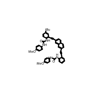 COc1ccc(NC(=O)Nc2ccccc2C#Cc2ccc3ccc(C#Cc4cc(C(C)(C)C)ccc4NC(=O)Nc4ccc(OC)cc4)cc3c2)cc1